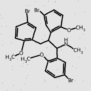 CNC(c1cc(Br)ccc1OC)C(Cc1cc(Br)ccc1OC)c1cc(Br)ccc1OC